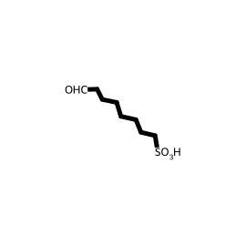 O=CCCCCCCCS(=O)(=O)O